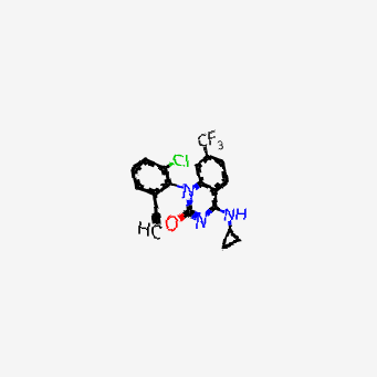 C#Cc1cccc(Cl)c1-n1c(=O)nc(NC2CC2)c2ccc(C(F)(F)F)cc21